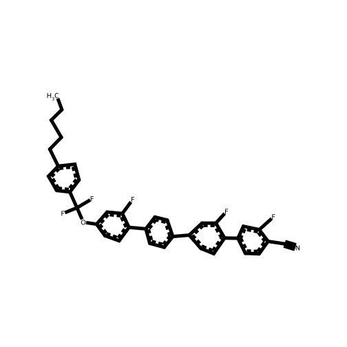 CCCCCc1ccc(C(F)(F)Oc2ccc(-c3ccc(-c4ccc(-c5ccc(C#N)c(F)c5)c(F)c4)cc3)c(F)c2)cc1